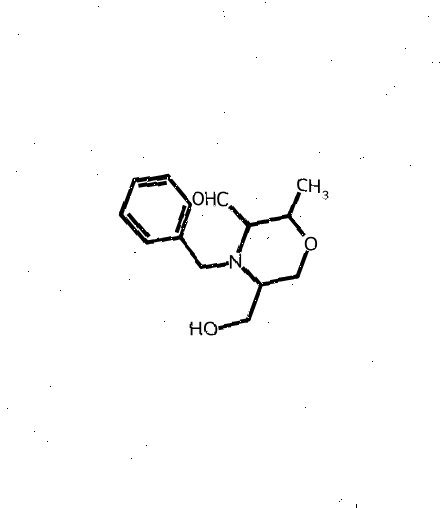 CC1OCC(CO)N(Cc2ccccc2)C1C=O